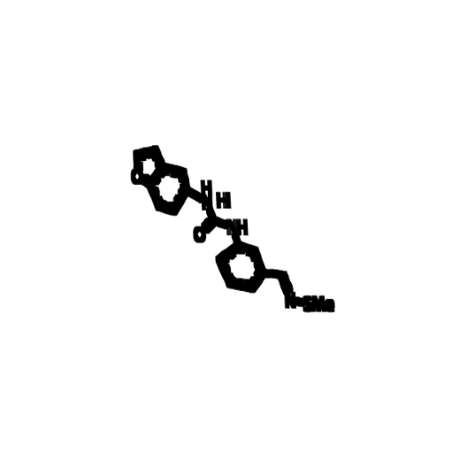 CSN=Cc1cccc(NC(=O)Nc2ccc3occc3c2)c1.I